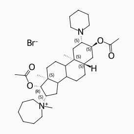 CC(=O)O[C@H]1C[C@@H]2CCC3C4C[C@H]([N+]5(C)CCCCCC5)[C@H](OC(C)=O)[C@@]4(C)CCC3[C@@]2(C)C[C@@H]1N1CCCCC1.[Br-]